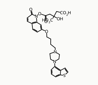 O=C(O)CC(O)(CC(=O)On1c(=O)ccc2ccc(OCCCCN3CCN(c4cccc5sccc45)CC3)cc21)C(=O)O